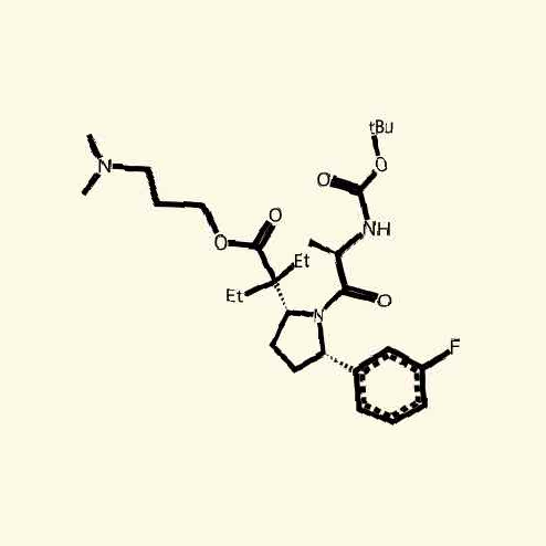 CCC(CC)(C(=O)OCCCN(C)C)[C@H]1CC[C@@H](c2cccc(F)c2)N1C(=O)[C@@H](C)NC(=O)OC(C)(C)C